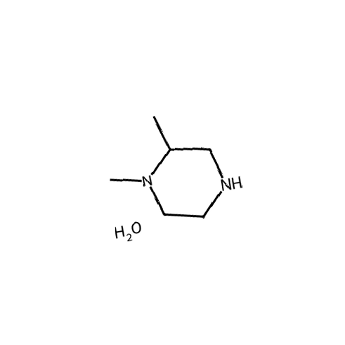 CC1CNCCN1C.O